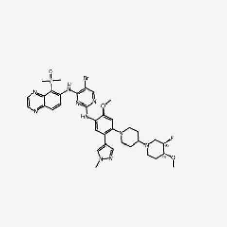 COc1cc(N2CCC(N3CC[C@H](OC)[C@H](F)C3)CC2)c(-c2cnn(C)c2)cc1Nc1ncc(Br)c(Nc2ccc3nccnc3c2P(C)(C)=O)n1